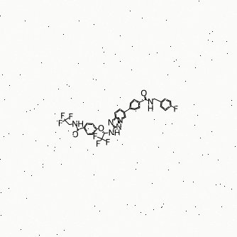 O=C(NCc1ccc(F)cc1)c1ccc(-c2ccc3nc(NC(Oc4ccc(C(=O)NCC(F)(F)F)cc4)C(F)(F)F)nn3c2)cc1